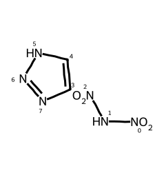 O=[N+]([O-])N[N+](=O)[O-].c1c[nH]nn1